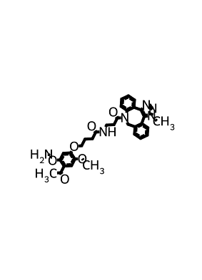 COc1cc(C(C)=O)c(ON)cc1OCCCC(=O)NCCC(=O)N1Cc2ccccc2-c2c(nnn2C)-c2ccccc21